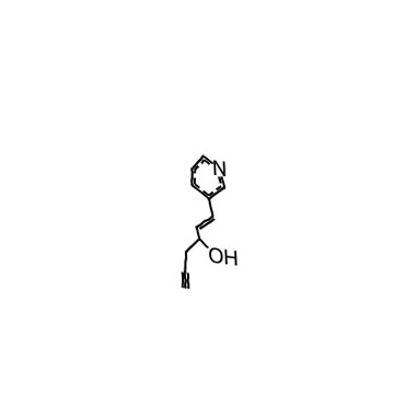 C#CCC(O)/C=C/c1cccnc1